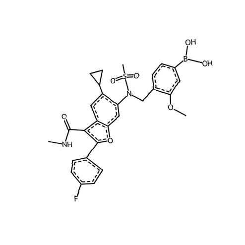 CNC(=O)c1c(-c2ccc(F)cc2)oc2cc(N(Cc3ccc(B(O)O)cc3OC)S(C)(=O)=O)c(C3CC3)cc12